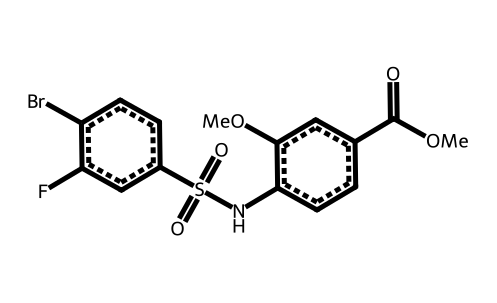 COC(=O)c1ccc(NS(=O)(=O)c2ccc(Br)c(F)c2)c(OC)c1